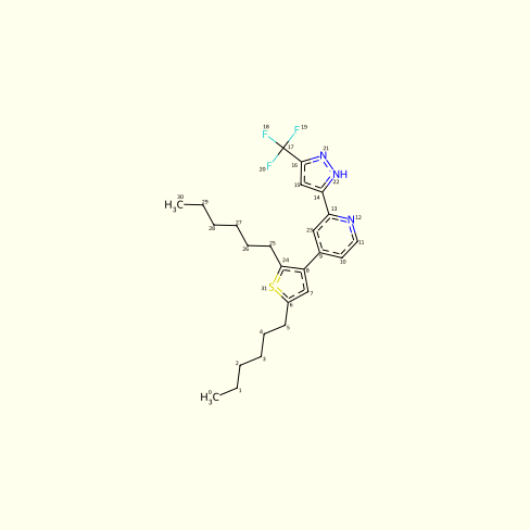 CCCCCCc1cc(-c2ccnc(-c3cc(C(F)(F)F)n[nH]3)c2)c(CCCCCC)s1